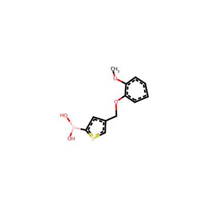 COc1ccccc1OCc1csc(B(O)O)c1